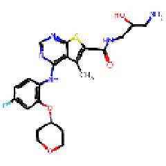 Cc1c(C(=O)NCC(O)CN)sc2ncnc(Nc3ccc(F)cc3OC3CCOCC3)c12